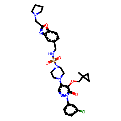 CC1(COc2c(N3CCN(S(=O)(=O)NCc4ccc5oc(CN6CCCC6)nc5c4)CC3)cnn(-c3cccc(Cl)c3)c2=O)CC1